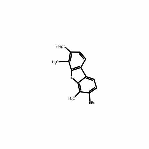 CCCCCCCc1ccc2c(sc3c(C)c(CCCC)ccc32)c1C